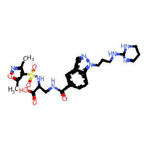 Cc1noc(C)c1S(=O)(=O)NC(CNC(=O)c1ccc2c(cnn2CCCNC2N=CCCN2)c1)C(=O)O